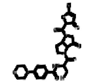 CC(C)CC(NC(=O)c1ccc(N2CCOCC2)cc1)C(=O)N1CCC2C1C(=O)CN2C(=O)C1OC(Cl)=CC1=O